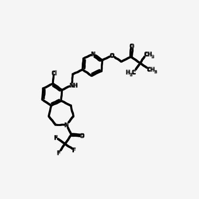 CC(C)(C)C(=O)COc1ccc(CNc2c(Cl)ccc3c2CCN(C(=O)C(F)(F)F)CC3)cn1